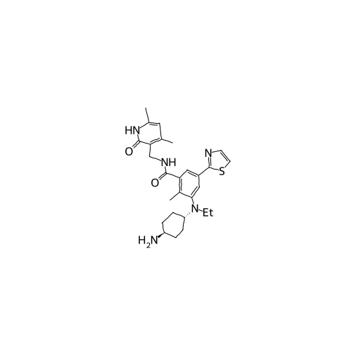 CCN(c1cc(-c2nccs2)cc(C(=O)NCc2c(C)cc(C)[nH]c2=O)c1C)[C@H]1CC[C@H](N)CC1